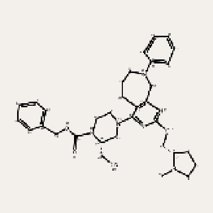 CN1CCC[C@H]1COc1nc2c(c(N3CCN(C(=O)OCc4ccccc4)[C@@H](CC#N)C3)n1)CCCN(c1ccccc1)C2